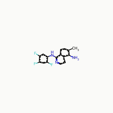 Cc1ccc2c(Nc3cc(F)c(F)cc3F)nccc2c1N